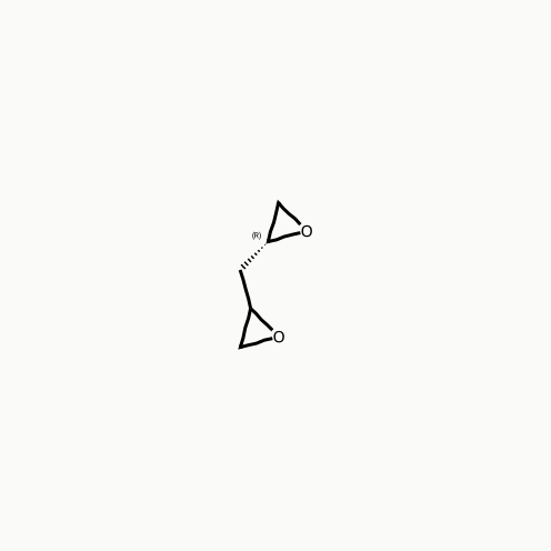 C1OC1C[C@@H]1CO1